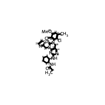 C=CC(=O)N[C@H]1CCCC[C@H]1Nc1ncc2c(n1)N(Cc1nccs1)C(=O)N(c1c(Cl)c(C)cc(OC)c1Cl)C2